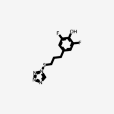 Oc1c(F)cc(CCCSn2cnnn2)cc1F